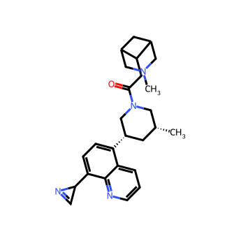 C[C@@H]1C[C@H](c2ccc(C3C=N3)c3ncccc23)CN(C(=O)CC2C3CC2CN(C)C3)C1